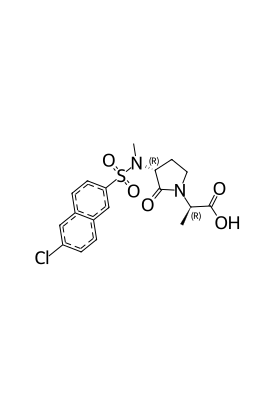 C[C@H](C(=O)O)N1CC[C@@H](N(C)S(=O)(=O)c2ccc3cc(Cl)ccc3c2)C1=O